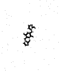 Cc1cc(Cn2ccnc2C)c(C)cc1Cn1ccnc1C